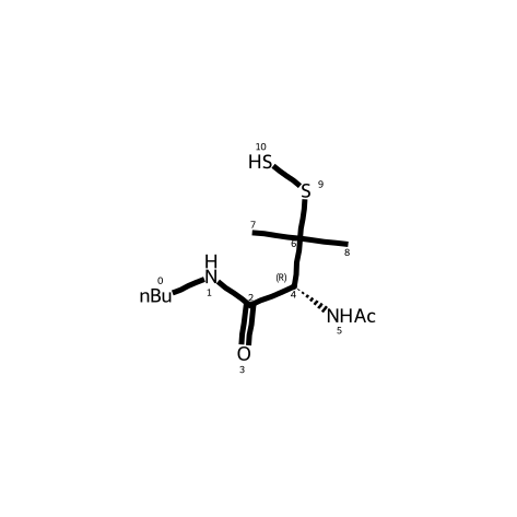 CCCCNC(=O)[C@@H](NC(C)=O)C(C)(C)SS